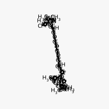 CC[C@H](C(=O)N1CCCC[C@H]1C(=O)O[C@H](CCc1ccc(OC)c(OC)c1)c1cccc(OCC(=O)NCCOCCOCCOCCOCCOCCOCCOCCNC(=O)C[C@@H]2N=C(c3ccc(Cl)cc3)c3c(sc(C)c3C)-n3c(C)nnc32)c1)c1cc(OC)c(OC)c(OC)c1